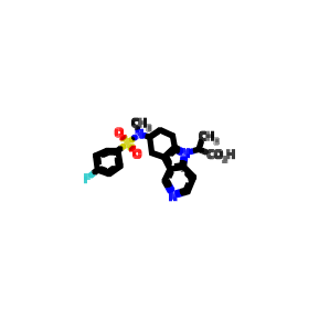 CC(C(=O)O)n1c2c(c3cnccc31)CC(N(C)S(=O)(=O)c1ccc(F)cc1)CC2